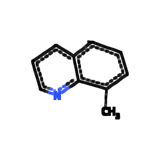 Cc1cc[c]c2cccnc12